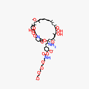 COCCOCCOCCOCCNC(=O)O[C@@H]1CC[C@@H](C[C@@H](N)[C@@H]2C[C@@H](OC)[C@H](C)/C=C(\C)[C@@H](O)[C@@H](O)C(=O)[C@H](C)C[C@H](C)/C=C/C=C/C=C(\C)[C@@H](OC)C[C@@H]3CC[C@@H](C)[C@@](O)(O3)C(=O)C(=O)N3CCCC[C@H]3C(=O)O2)C[C@H]1OC